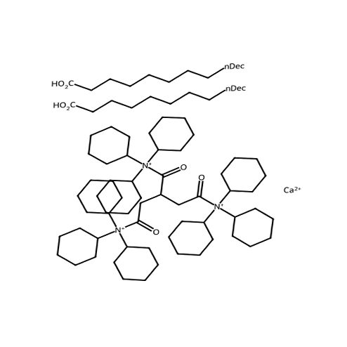 CCCCCCCCCCCCCCCCCC(=O)O.CCCCCCCCCCCCCCCCCC(=O)O.O=C(CC(CC(=O)[N+](C1CCCCC1)(C1CCCCC1)C1CCCCC1)C(=O)[N+](C1CCCCC1)(C1CCCCC1)C1CCCCC1)[N+](C1CCCCC1)(C1CCCCC1)C1CCCCC1.[Ca+2]